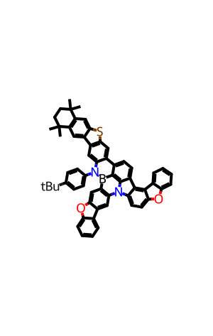 CC(C)(C)c1ccc(N2B3c4cc5oc6ccccc6c5cc4-n4c5ccc6oc7ccccc7c6c5c5ccc(c3c54)-c3cc4sc5cc6c(cc5c4cc32)C(C)(C)CCC6(C)C)cc1